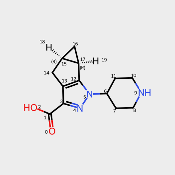 O=C(O)c1nn(C2CCNCC2)c2c1C[C@H]1C[C@@H]21